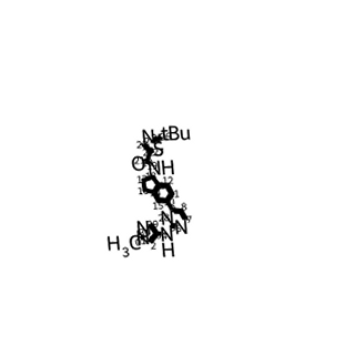 Cn1cc(Nc2nccc(-c3ccc4c(c3)CCC4NC(=O)c3cnc(C(C)(C)C)s3)n2)cn1